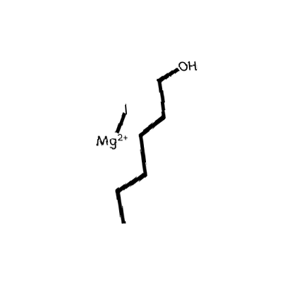 CCCCCCO.[Mg+2][I]